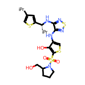 CC(C)c1csc([C@H](Nc2nsnc2Nc2csc(S(=O)(=O)N3CCCC3CO)c2O)C(C)C)c1